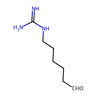 N=C(N)NCCCCCC=O